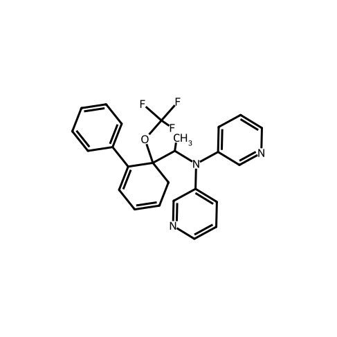 CC(N(c1cccnc1)c1cccnc1)C1(OC(F)(F)F)CC=CC=C1c1ccccc1